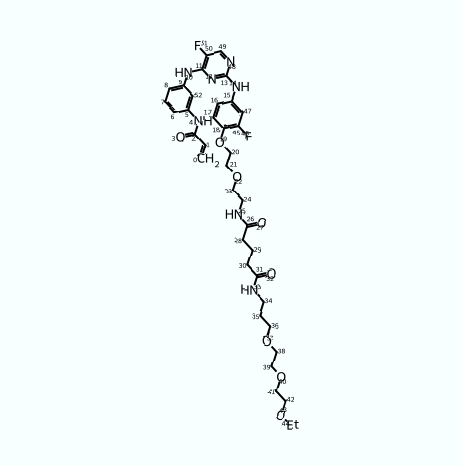 C=CC(=O)Nc1cccc(Nc2nc(Nc3ccc(OCCOCCNC(=O)CCCC(=O)NCCCOCCOCCOCC)c(F)c3)ncc2F)c1